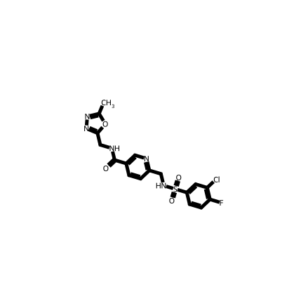 Cc1nnc(CNC(=O)c2ccc(CNS(=O)(=O)c3ccc(F)c(Cl)c3)nc2)o1